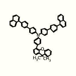 CC1(C)c2ccccc2Oc2c(-c3ccc(N(c4ccc(-c5ccc(-c6cccc7ccccc67)cc5)cc4)c4ccc(-c5ccc(-c6cccc7ccccc67)cc5)cc4)cc3)cccc21